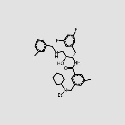 CCN(Cc1cc(C)cc(C(=O)N[C@@H](Cc2cc(F)cc(F)c2)[C@@H](O)CNCc2cccc(I)c2)c1)C1CCCCC1